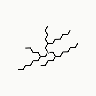 CCCCCCC(CCCC)[CH2][Al]([CH2]C(CCCC)CCCCCC)[CH2]C(CCCC)CCCCCC